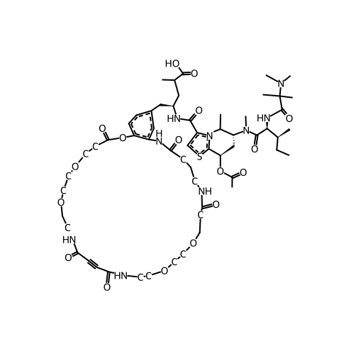 CC[C@H](C)[C@H](NC(=O)C(C)(C)N(C)C)C(=O)N(C)[C@H](C[C@@H](OC(C)=O)c1nc(C(=O)N[C@@H](Cc2ccc3c(c2)NC(=O)CCCNC(=O)CCOCCOCCNC(=O)C#CC(=O)NCCOCCOCCC(=O)O3)CC(C)C(=O)O)cs1)C(C)C